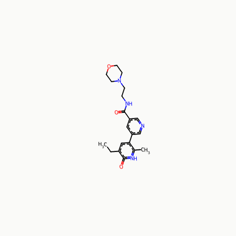 CCc1cc(-c2cncc(C(=O)NCCN3CCOCC3)c2)c(C)[nH]c1=O